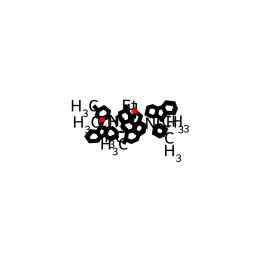 CCC1CC(N(C2=CCC(C)CC2)C2CC=CC3=C2C(C)(C)C2C=CCCC32)=C2C=C3c4c(cc(N(c5ccc(C)cc5)C5CCCC6C7C=CC=CC7C(C)(C)C65)c5c4C24C(CC5)[C@H]14)CCC3(C)C